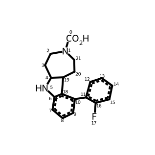 O=C(O)N1CCC2Nc3cccc(-c4ccccc4F)c3C2CC1